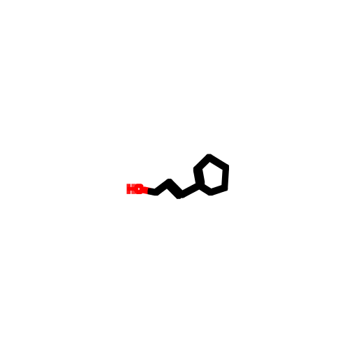 OCC=CC1=CCCCC1